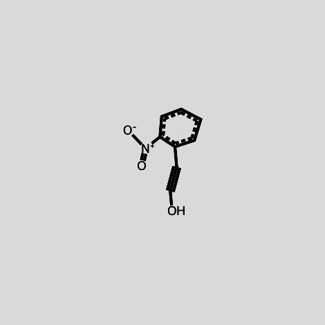 O=[N+]([O-])c1ccccc1C#CO